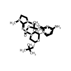 CN1CCN(C)C1=NP(=O)(OC(C)(C)C)N1C[C@@H](CC(C)(C)C)O[C@@H](n2ccc(N)nc2=O)C1